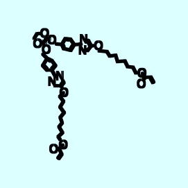 C=CC(=O)OCCCCCCCCCOc1cnc(-c2ccc(CO[C@H]3OCCO[C@@H]3OCc3ccc(-c4ncc(OCCCCCCCCCOC(=O)C=C)cn4)cc3)cc2)nc1